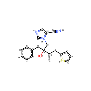 C=C(Cc1cccs1)C(O)(Cc1ccccc1)Cn1cncc1C#N